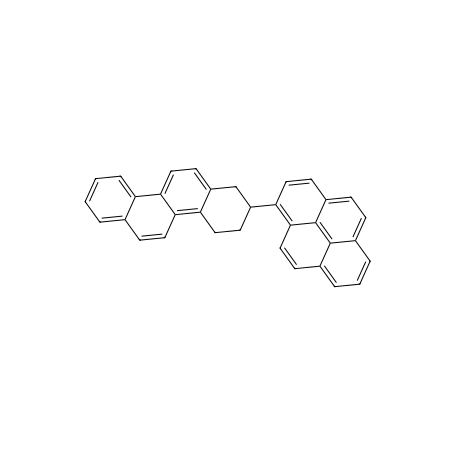 c1ccc2c(c1)ccc1c3c(ccc12)CC(c1ccc2ccc4cccc5ccc1c2c45)CC3